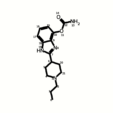 CCCN1CCC(c2nc3c(OC(N)=O)cccc3[nH]2)CC1